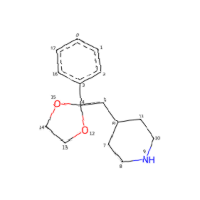 c1ccc(C2(CC3CCNCC3)OCCO2)cc1